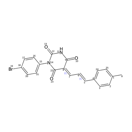 Cc1ccc(/C=C/C=C2\C(=O)NC(=O)N(c3ccc(Br)cc3)C2=O)cc1